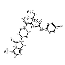 CSC(C)(C)[C@@H](NC(=O)Nc1ccc(I)cc1)C(=O)N1CCC(N2Cc3cnc(C)n3C2=O)CC1